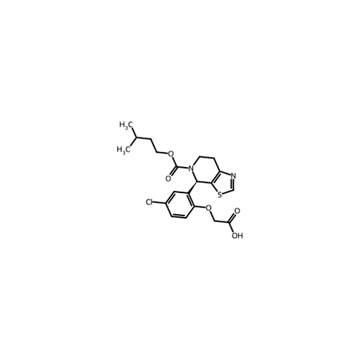 CC(C)CCOC(=O)N1CCc2ncsc2[C@H]1c1cc(Cl)ccc1OCC(=O)O